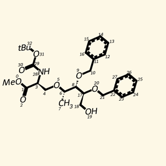 COC(=O)[C@H](CO[C@@H](C)[C@H](OCc1ccccc1)[C@H](CO)OCc1ccccc1)NC(=O)OC(C)(C)C